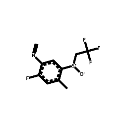 C=Nc1cc([S+]([O-])CC(F)(F)F)c(C)cc1F